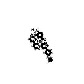 Cc1ccc(C(=O)Nc2ccc(-c3ccc(OC(F)(F)F)cc3)nn2)cc1Nc1nccc(-c2cccnc2)n1